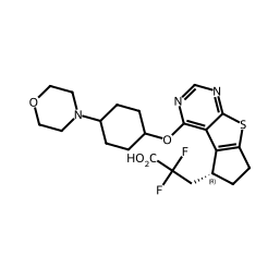 O=C(O)C(F)(F)C[C@H]1CCc2sc3ncnc(OC4CCC(N5CCOCC5)CC4)c3c21